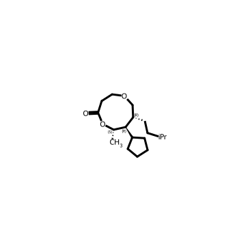 CC(C)CC[C@H]1COCCC(=O)O[C@@H](C)[C@@H]1C1CCCC1